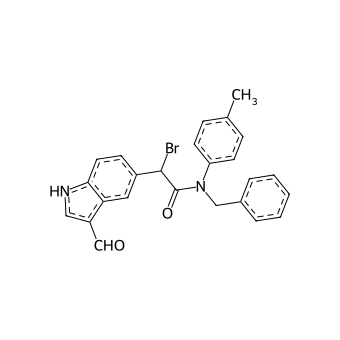 Cc1ccc(N(Cc2ccccc2)C(=O)C(Br)c2ccc3[nH]cc(C=O)c3c2)cc1